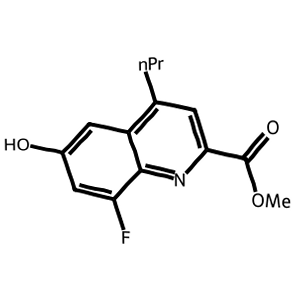 CCCc1cc(C(=O)OC)nc2c(F)cc(O)cc12